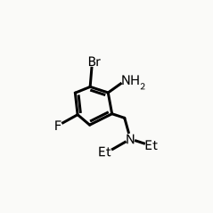 CCN(CC)Cc1cc(F)cc(Br)c1N